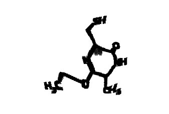 CCOC1=N[C@@H](CS)C(=O)NC1C